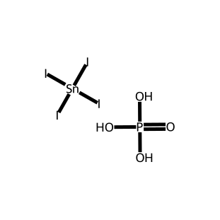 O=P(O)(O)O.[I][Sn]([I])([I])[I]